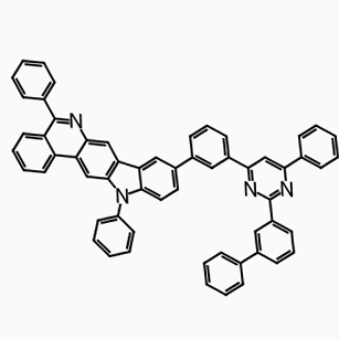 c1ccc(-c2cccc(-c3nc(-c4ccccc4)cc(-c4cccc(-c5ccc6c(c5)c5cc7nc(-c8ccccc8)c8ccccc8c7cc5n6-c5ccccc5)c4)n3)c2)cc1